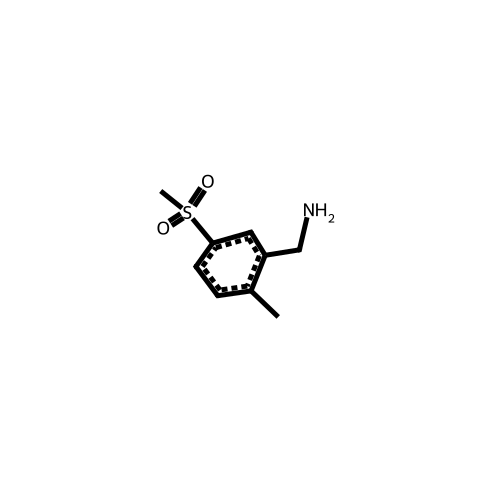 Cc1ccc(S(C)(=O)=O)cc1CN